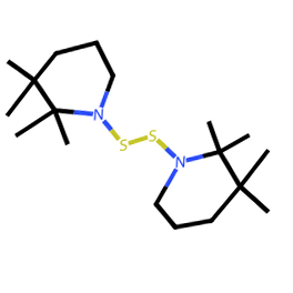 CC1(C)CCCN(SSN2CCCC(C)(C)C2(C)C)C1(C)C